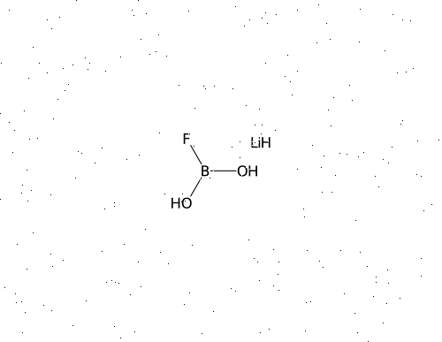 OB(O)F.[LiH]